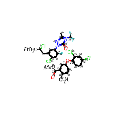 CCOC(=O)C(Cl)Cc1cc(-n2nc(C)n(C(F)F)c2=O)c(F)cc1Cl.COC(=O)c1cc(Oc2ccc(Cl)cc2Cl)ccc1[N+](=O)[O-]